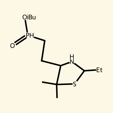 CCC1NC(CC[PH](=O)OCC(C)C)C(C)(C)S1